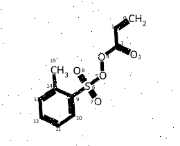 C=CC(=O)OOS(=O)(=O)c1ccccc1C